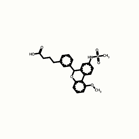 COc1cccc2c1-c1ccc(NS(C)(=O)=O)cc1C(c1cccc(CCCC(=O)O)c1)O2